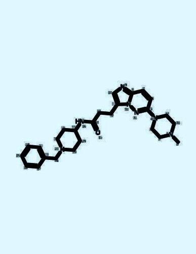 CN1CCN(c2ccc3ncc(CCC(=O)NC4CCN(Cc5ccccc5)CC4)n3n2)CC1